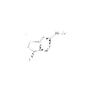 CC(=O)Nc1ccc2c(c1)[C@@H](C)CC2=O